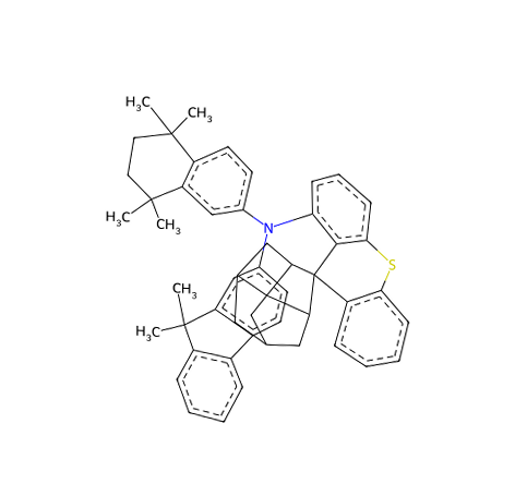 CC1(C)CCC(C)(C)c2cc(N(c3ccc4c(c3)C(C)(C)c3ccccc3-4)c3cccc4c3C3(c5ccccc5S4)C4CC5CC6CC3C64C5)ccc21